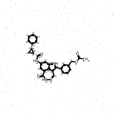 CC(=O)OCc1cccc(-c2[nH]c3cc(NC(=O)[C@@H]4C[C@H]4c4ccccc4)cc4c3c2C=NNC4=O)c1